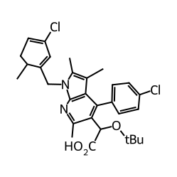 Cc1nc2c(c(C)c(C)n2CC2=CC(Cl)=CCC2C)c(-c2ccc(Cl)cc2)c1C(OC(C)(C)C)C(=O)O